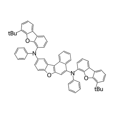 CC(C)(C)c1cccc2c1oc1c(N(c3ccccc3)c3ccc4oc5cc(N(c6ccccc6)c6cccc7c6oc6c(C(C)(C)C)cccc67)c6ccccc6c5c4c3)cccc12